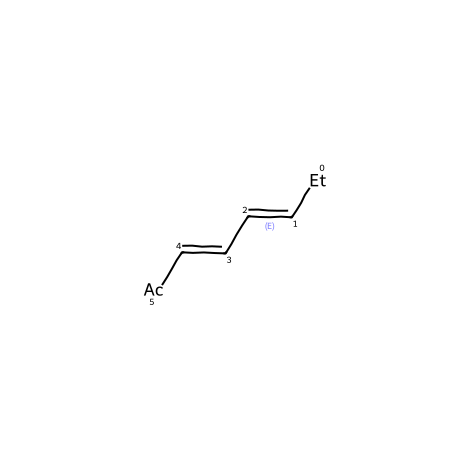 CC/C=C/C=CC(C)=O